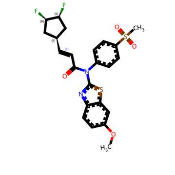 COc1ccc2nc(N(C(=O)/C=C/[C@H]3C[C@@H](F)[C@@H](F)C3)c3ccc(S(C)(=O)=O)cc3)sc2c1